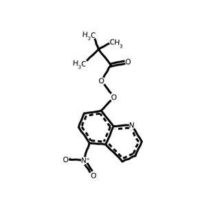 CC(C)(C)C(=O)OOc1ccc([N+](=O)[O-])c2cccnc12